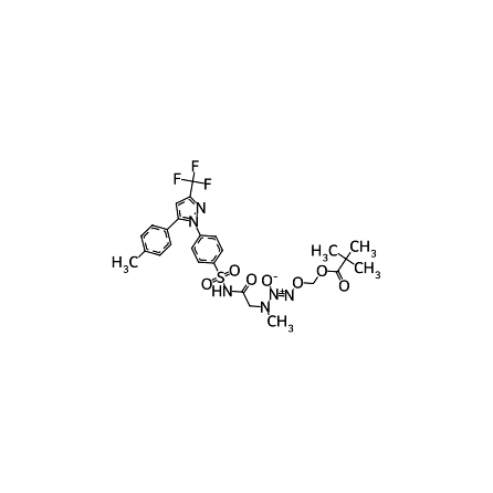 Cc1ccc(-c2cc(C(F)(F)F)nn2-c2ccc(S(=O)(=O)NC(=O)CN(C)[N+]([O-])=NOCOC(=O)C(C)(C)C)cc2)cc1